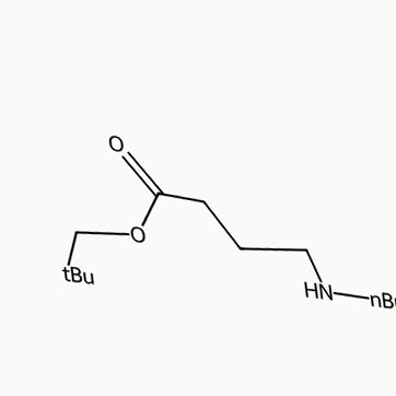 CCCCNCCCC(=O)OCC(C)(C)C